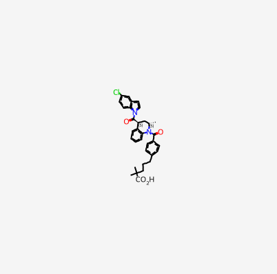 C[C@H]1C[C@H](C(=O)n2ccc3cc(Cl)ccc32)c2ccccc2N1C(=O)c1ccc(CCCC(C)(C)C(=O)O)cc1